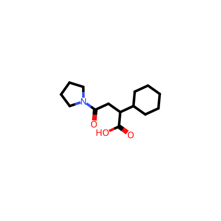 O=C(O)C(CC(=O)N1CCCC1)C1CCCCC1